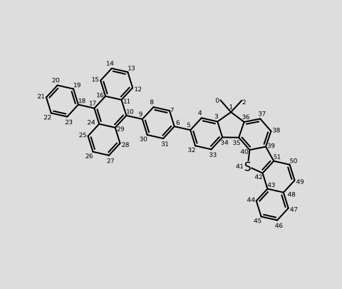 CC1(C)c2cc(-c3ccc(-c4c5ccccc5c(-c5ccccc5)c5ccccc45)cc3)ccc2-c2c1ccc1c2sc2c3ccccc3ccc12